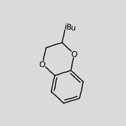 CCC(C)C1COc2ccccc2O1